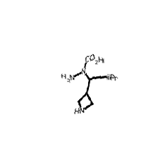 C[C](C)C(C1CNC1)N(N)C(=O)O